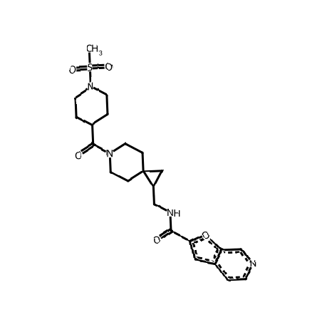 CS(=O)(=O)N1CCC(C(=O)N2CCC3(CC2)CC3CNC(=O)c2cc3ccncc3o2)CC1